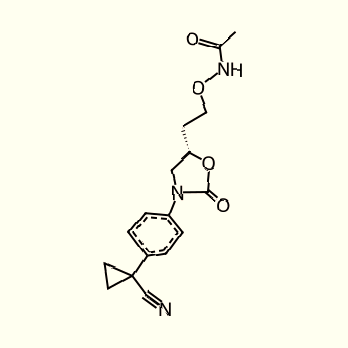 CC(=O)NOCC[C@H]1CN(c2ccc(C3(C#N)CC3)cc2)C(=O)O1